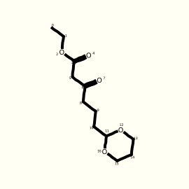 CCOC(=O)CC(=O)CCCC1OCCCO1